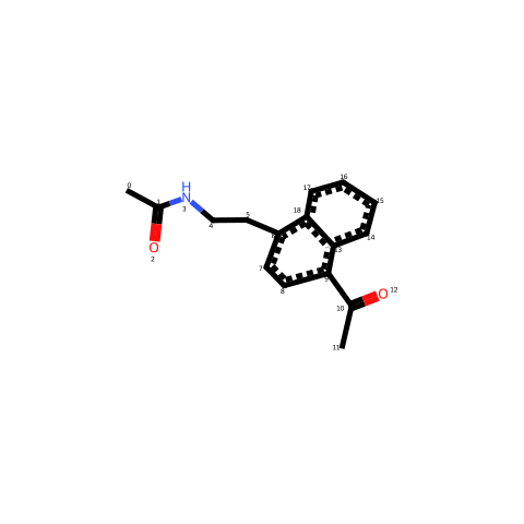 CC(=O)NCCc1ccc(C(C)=O)c2ccccc12